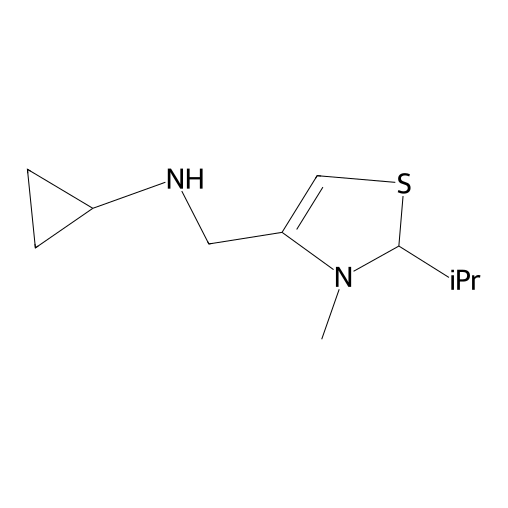 CC(C)C1SC=C(CNC2CC2)N1C